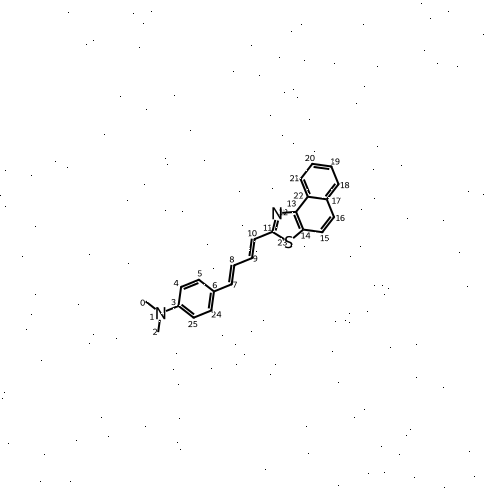 CN(C)c1ccc(/C=C/C=C/c2nc3c(ccc4ccccc43)s2)cc1